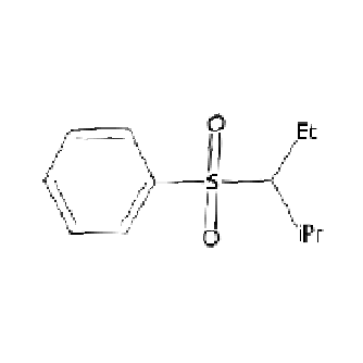 CCC(C(C)C)S(=O)(=O)c1ccccc1